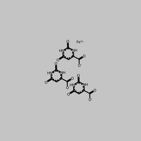 O=C([O-])c1cc(=O)[nH]c(=O)[nH]1.O=C([O-])c1cc(=O)[nH]c(=O)[nH]1.O=C([O-])c1cc(=O)[nH]c(=O)[nH]1.[Fe+3]